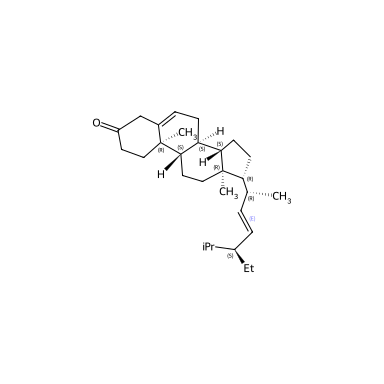 CC[C@H](/C=C/[C@@H](C)[C@H]1CC[C@H]2[C@@H]3CC=C4CC(=O)CC[C@]4(C)[C@H]3CC[C@]12C)C(C)C